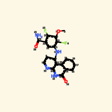 COc1c(F)c(Nc2ccnc3[nH]c(=O)c4ccccc4c23)cc(C(N)=O)c1F